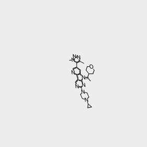 Cc1nnn(C)c1-c1cnc2c3cnc(N4CCN(C5CC5)CC4)nc3n([C@H](C)C3CCOCC3)c2c1